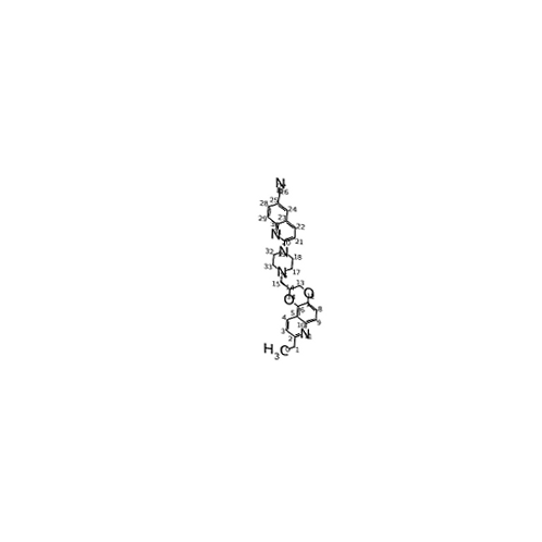 CCc1ccc2c3c(ccc2n1)OC[C@H](CN1CCN(c2ccc4cc(C#N)ccc4n2)CC1)O3